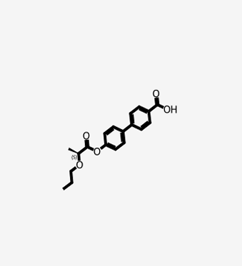 CCCO[C@@H](C)C(=O)Oc1ccc(-c2ccc(C(=O)O)cc2)cc1